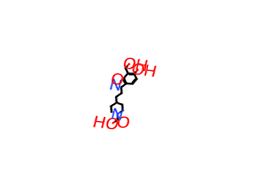 O=C(O)N1CCC(CCc2noc3c(CO)c(O)ccc23)CC1